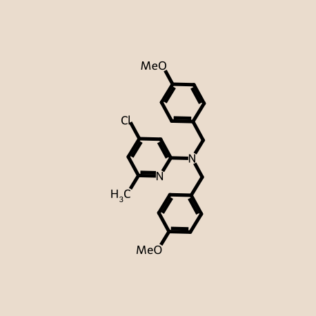 COc1ccc(CN(Cc2ccc(OC)cc2)c2cc(Cl)cc(C)n2)cc1